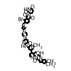 Cn1cc(-c2ccnc(N3CCn4c(cc5c4CC(C)(C)C5)C3=O)c2CO)cc(Nc2ccc(N3CCN(C4CN(Cc5ccc6c(c5Br)C(=O)N(C5CCC(=O)NC5=O)C6=O)C4)CC3)cn2)c1=O